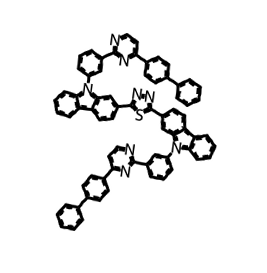 c1ccc(-c2ccc(-c3ccnc(-c4cccc(-n5c6ccccc6c6ccc(-c7nnc(-c8ccc9c%10ccccc%10n(-c%10cccc(-c%11nccc(-c%12ccc(-c%13ccccc%13)cc%12)n%11)c%10)c9c8)s7)cc65)c4)n3)cc2)cc1